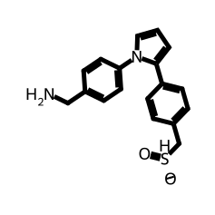 NCc1ccc(-n2cccc2-c2ccc(C[SH](=O)=O)cc2)cc1